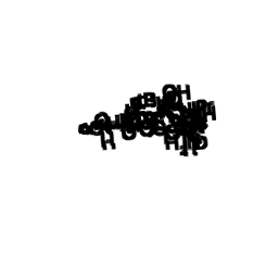 CC(C)[C@H](NC(=O)[C@@H]1CCCN1C(=O)[C@H](CC(N)=O)NC(=O)CCOCCOCCOCCNC(=O)[C@H](CCCCNC(=O)OCc1ccccc1)NC(=O)OCc1ccccc1)C(=O)NCCCN(C(=O)CO)[C@@H](c1cc(-c2cc(F)ccc2F)cn1Cc1ccccc1)C(C)(C)C